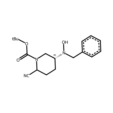 CC(C)(C)OC(=O)N1C[C@H](N(O)Cc2ccccc2)CCC1C#N